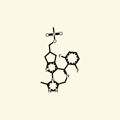 Cc1nnc2n1-c1sc3c(c1C(c1c(F)cccc1F)=NC2)CC(COS(C)(=O)=O)C3